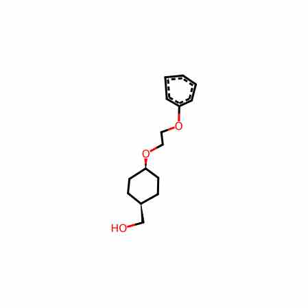 OC[C@H]1CC[C@@H](OCCOc2ccccc2)CC1